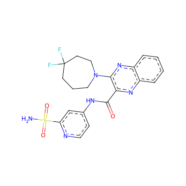 NS(=O)(=O)c1cc(NC(=O)c2nc3ccccc3nc2N2CCCC(F)(F)CC2)ccn1